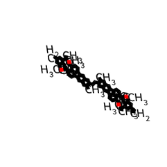 C=Cc1cc(C(C)C)c(N2C(=O)c3ccc4c5c(ccc(c35)C2=O)-c2cc3cc(CCc5cc6cc7c(cc6cc5C)-c5ccc6c8c(ccc-7c58)C(=O)N(c5c(C(C)C)cc(C=C)cc5C(C)C)C6=O)c(C)cc3cc2-4)c(C(C)C)c1